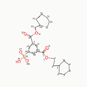 O=C(OCCC1CCCCC1)c1cc(C(=O)OCC2CCCCC2)cc(S(=O)(=O)O)c1